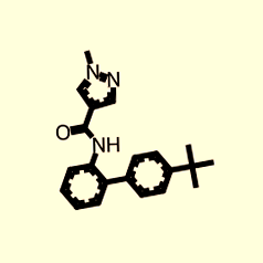 Cn1cc(C(=O)Nc2ccccc2-c2ccc(C(C)(C)C)cc2)cn1